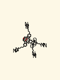 O=C(OCCCCn1ccnc1)c1cc(-n2c3ccccc3c3cc(CCCCn4ccnc4)ccc32)c(-n2c3ccccc3c3cc(CCCCn4ccnc4)ccc32)cc1C(=O)OCCCCn1ccnc1